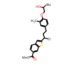 CCC(CCc1ccc(OCC(O)C(C)(C)C)c(C)c1)c1cc2ccc(C(=O)OC)cc2s1